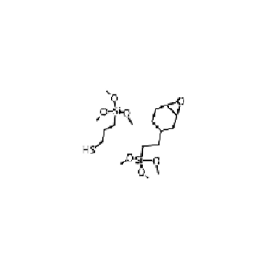 CO[Si](CCC1CCC2OC2C1)(OC)OC.CO[Si](CCCS)(OC)OC